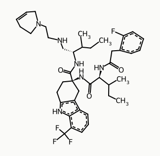 CCC(C)[C@H](NC(=O)Cc1ccccc1F)C(=O)N[C@]1(C(=O)N[C@H](CNCCN2CC=CCC2)C(C)CC)CCc2[nH]c3c(C(F)(F)F)cccc3c2C1